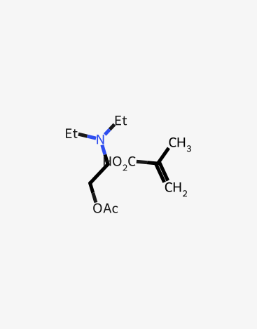 C=C(C)C(=O)O.CCN(CC)CCOC(C)=O